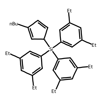 CCCCC1=C[C]([Si](c2cc(CC)cc(CC)c2)(c2cc(CC)cc(CC)c2)c2cc(CC)cc(CC)c2)C=C1